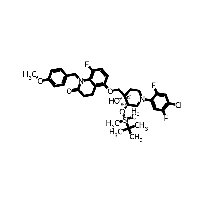 COc1ccc(CN2C(=O)CCc3c(OC[C@@]4(O)CCN(c5cc(F)c(Cl)cc5F)C[C@H]4O[Si](C)(C)C(C)(C)C)ccc(F)c32)cc1